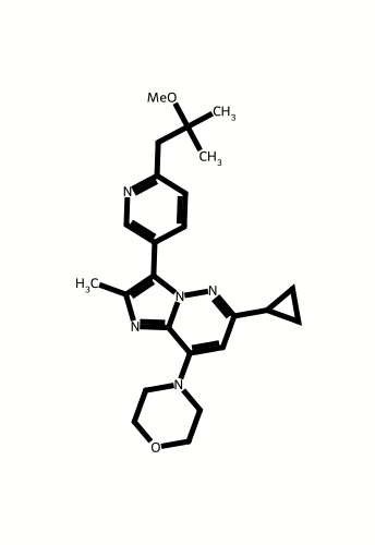 COC(C)(C)Cc1ccc(-c2c(C)nc3c(N4CCOCC4)cc(C4CC4)nn23)cn1